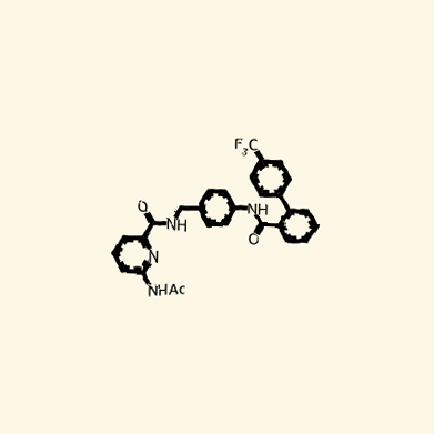 CC(=O)Nc1cccc(C(=O)NCc2ccc(NC(=O)c3ccccc3-c3ccc(C(F)(F)F)cc3)cc2)n1